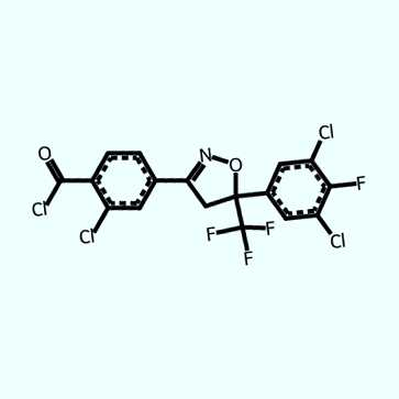 O=C(Cl)c1ccc(C2=NOC(c3cc(Cl)c(F)c(Cl)c3)(C(F)(F)F)C2)cc1Cl